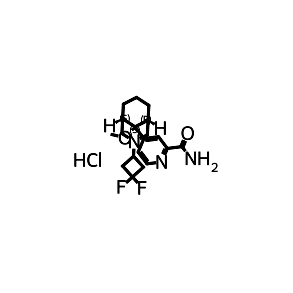 CO[C@]1(c2ccnc(C(N)=O)c2)[C@@H]2CCC[C@H]1CN(C1CC(F)(F)C1)C2.Cl